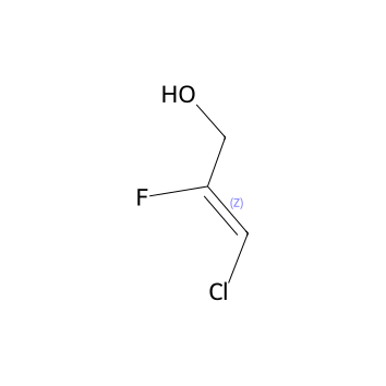 OC/C(F)=C/Cl